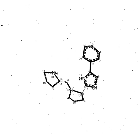 c1ccc(-c2cnc([C@@H]3CCCN3C[C@@H]3CCCN3)[nH]2)cc1